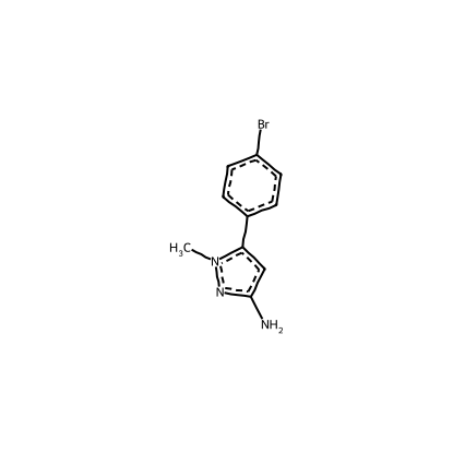 Cn1nc(N)cc1-c1ccc(Br)cc1